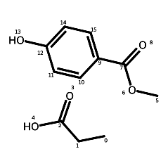 CCC(=O)O.COC(=O)c1ccc(O)cc1